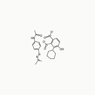 CC(=O)Nc1ccc(N=NN(C)C)cc1.O=[N+]([O-])c1ccc(O)c(C2CCCCC2)c1[N+](=O)[O-]